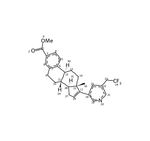 COC(=O)c1ccc2c(c1)CC[C@@H]1[C@@H]2CC[C@]2(C)C(c3cncc(CC(F)(F)F)c3)=CC[C@@H]12